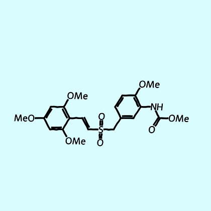 COC(=O)Nc1cc(CS(=O)(=O)C=Cc2c(OC)cc(OC)cc2OC)ccc1OC